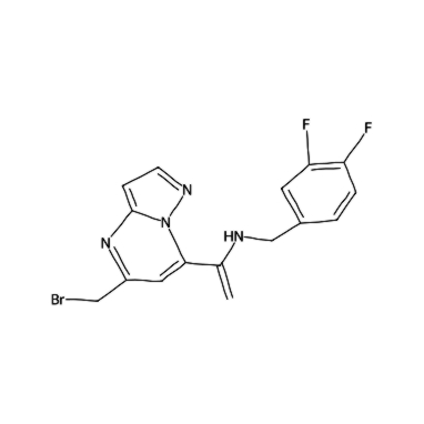 C=C(NCc1ccc(F)c(F)c1)c1cc(CBr)nc2ccnn12